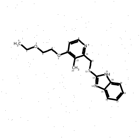 CCOCCOc1ccnc(CSc2nc3ccccc3[nH]2)c1C